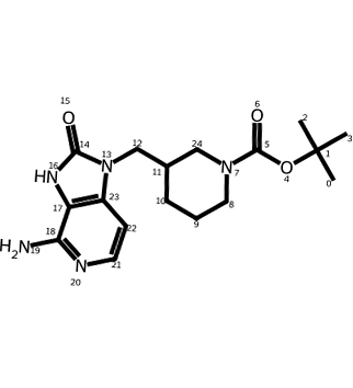 CC(C)(C)OC(=O)N1CCCC(Cn2c(=O)[nH]c3c(N)nccc32)C1